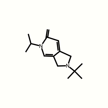 C=C1C=C2CN(C(C)(C)C)CC2=CN1C(C)C